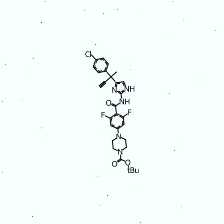 C#CC(C)(c1ccc(Cl)cc1)c1c[nH]c(NC(=O)c2c(F)cc(N3CCN(C(=O)OC(C)(C)C)CC3)cc2F)n1